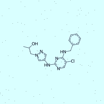 CC(O)Cn1cc(Nc2ncc(Cl)c(NCc3ccccc3)n2)cn1